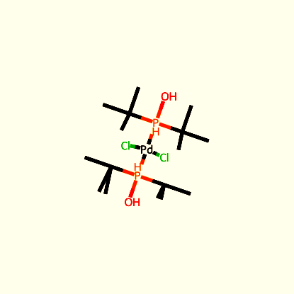 CC(C)(C)[PH](O)(C(C)(C)C)[Pd]([Cl])([Cl])[PH](O)(C(C)(C)C)C(C)(C)C